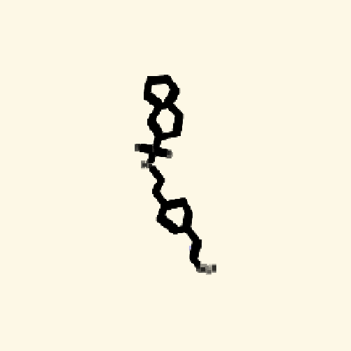 O=C(O)/C=C/c1ccc(CCNS(=O)(=O)c2ccc3ccccc3c2)cc1